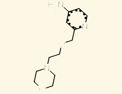 Nc1ccnc(COCCN2CCOCC2)c1